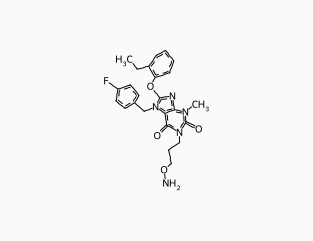 CCc1ccccc1Oc1nc2c(c(=O)n(CCCON)c(=O)n2C)n1Cc1ccc(F)cc1